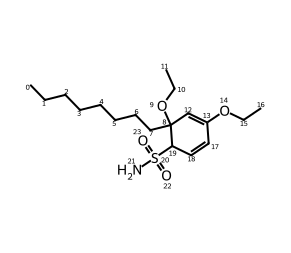 CCCCCCCCC1(OCC)C=C(OCC)C=CC1S(N)(=O)=O